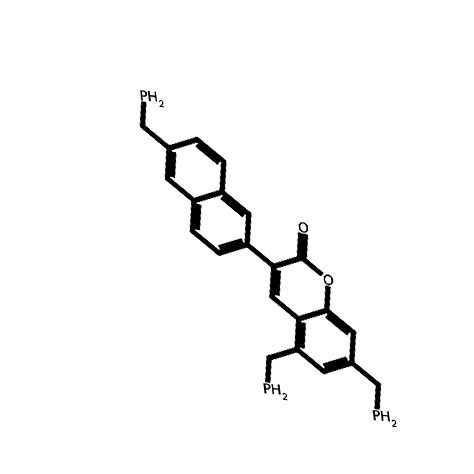 O=c1oc2cc(CP)cc(CP)c2cc1-c1ccc2cc(CP)ccc2c1